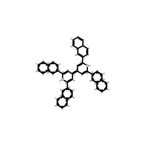 C1=CC2C=CC(C3=CC(=C4C=C(c5ccc6ccccc6c5)OC(c5ccc6ccccc6c5)=C4)C=C(c4ccc5ccccc5c4)O3)=CC2C=C1